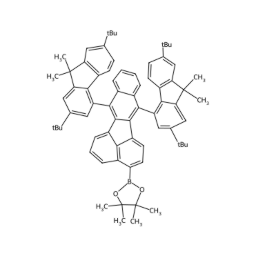 CC(C)(C)c1ccc2c(c1)C(C)(C)c1cc(C(C)(C)C)cc(-c3c4c(c(-c5cc(C(C)(C)C)cc6c5-c5ccc(C(C)(C)C)cc5C6(C)C)c5ccccc35)-c3ccc(B5OC(C)(C)C(C)(C)O5)c5cccc-4c35)c1-2